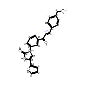 O=C(/C=C/c1ccc(CO)cc1)c1cccc(-n2cc(-c3ccco3)[nH]c2=O)c1